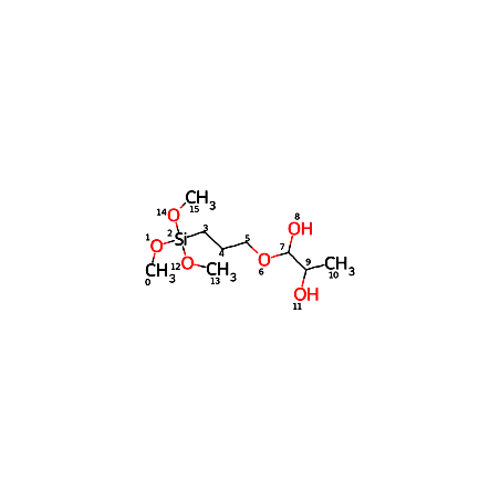 CO[Si](CCCOC(O)C(C)O)(OC)OC